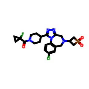 O=C(N1CCC(c2nnc3n2-c2ccc(Cl)cc2CN(C2CS(=O)(=O)C2)C3)CC1)C1(F)CC1